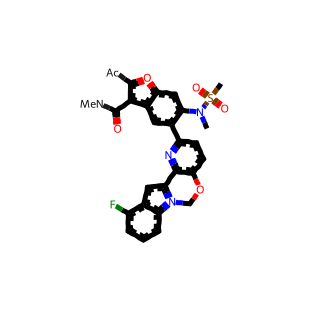 CNC(=O)c1c(C(C)=O)oc2cc(N(C)S(C)(=O)=O)c(-c3ccc4c(n3)-c3cc5c(F)cccc5n3CO4)cc12